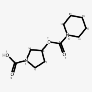 O=C(O)N1CCC(OC(=O)N2CCCCC2)C1